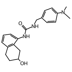 CN(C)c1ccc(CNC(=O)Nc2cccc3c2CC(O)CC3)cc1